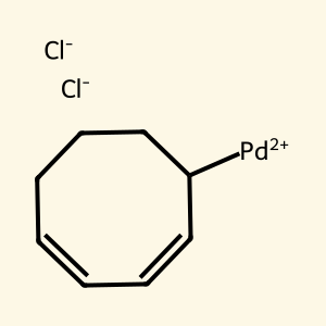 [Cl-].[Cl-].[Pd+2][CH]1/C=C\C=C/CCC1